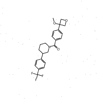 COC1(c2ccc(C(=O)N3CCCC(c4ccc(C(F)(F)F)cc4)C3)cc2)COC1